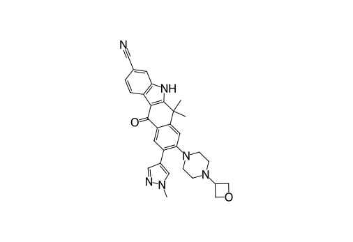 Cn1cc(-c2cc3c(cc2N2CCN(C4COC4)CC2)C(C)(C)c2[nH]c4cc(C#N)ccc4c2C3=O)cn1